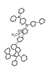 CC1(C)c2cc(-c3cccc4c3ccc3c(-c5ccccc5)c(-c5ccccc5)n(-c5cccc6ccccc56)c34)ccc2-c2ccc(N(c3ccc(-c4ccccc4)cc3)c3ccc(N(c4ccccc4)c4ccccc4)cc3)cc21